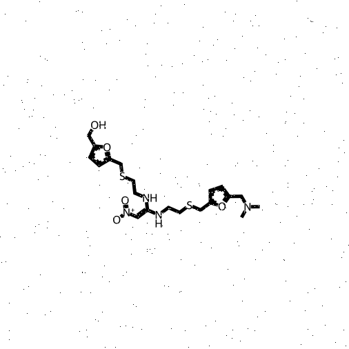 CN(C)Cc1ccc(CSCCNC(=C[N+](=O)[O-])NCCSCc2ccc(CO)o2)o1